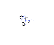 Cc1nc2ccc(F)cn2c1C1(Nc2ccc(C(F)(F)F)cc2)N=C(N)C=CN1